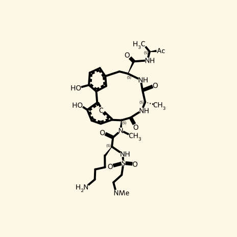 CNCCS(=O)(=O)N[C@@H](CCCCN)C(=O)N(C)[C@@H]1C(=O)N[C@@H](C)C(=O)N[C@H](C(=O)N[C@@H](C)C(C)=O)Cc2ccc(O)c(c2)-c2cc1ccc2O